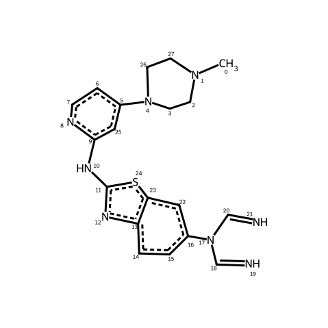 CN1CCN(c2ccnc(Nc3nc4ccc(N(C=N)C=N)cc4s3)c2)CC1